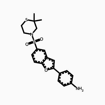 CC1(C)CN(S(=O)(=O)c2ccc3oc(-c4ccc(N)cc4)cc3c2)CCS1